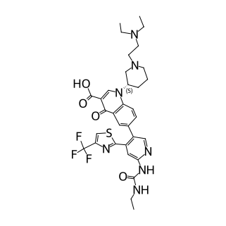 CCNC(=O)Nc1cc(-c2nc(C(F)(F)F)cs2)c(-c2ccc3c(c2)c(=O)c(C(=O)O)cn3[C@H]2CCCN(CCN(CC)CC)C2)cn1